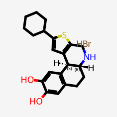 Br.Oc1cc2c(cc1O)[C@H]1c3cc(C4CCCCC4)sc3CN[C@@H]1CC2